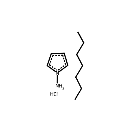 CCCCCCC.Cl.Nn1cccc1